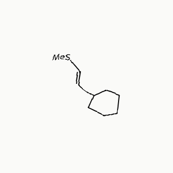 CS/C=C/C1CCCCC1